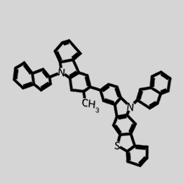 CC1Cc2c(c3ccccc3n2-c2ccc3ccccc3c2)C=C1c1ccc2c(c1)c1cc3sc4ccccc4c3cc1n2-c1ccc2ccccc2c1